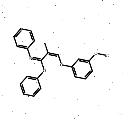 CCOc1cccc(OC=C(C)C(=Nc2ccccc2)Oc2ccccc2)c1